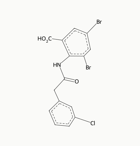 O=C(Cc1cccc(Cl)c1)Nc1c(Br)cc(Br)cc1C(=O)O